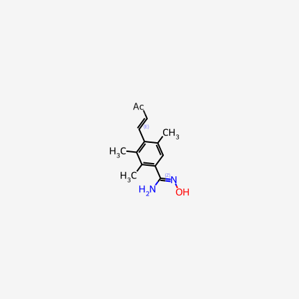 CC(=O)/C=C/c1c(C)cc(/C(N)=N/O)c(C)c1C